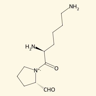 NCCCC[C@H](N)C(=O)[N+]1CCC[C@H]1C=O